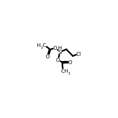 CC(=O)O[SiH](CCCl)OC(C)=O